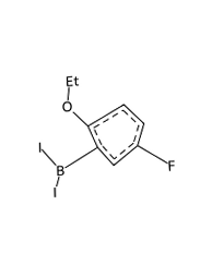 CCOc1ccc(F)cc1B(I)I